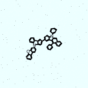 c1ccc(-c2c3ccccc3cc3c2c2cc(-c4ccc5c(c4)c4ccccc4n5-c4ccc5c(c4)oc4ccccc45)ccc2n3-c2ccccc2)cc1